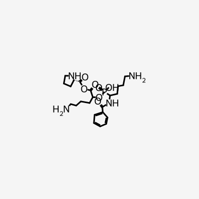 NCCCCC(OP(=O)(O)C(CCCCN)NC(=O)c1ccccc1)C(=O)OC(=O)[C@@H]1CCCN1